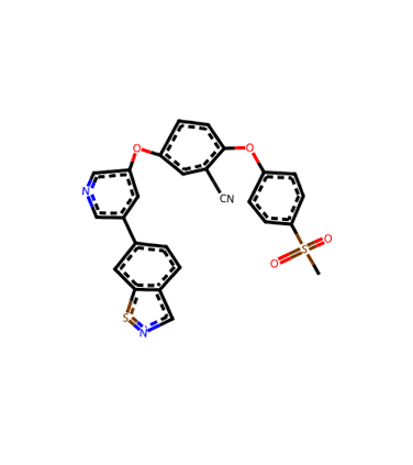 CS(=O)(=O)c1ccc(Oc2ccc(Oc3cncc(-c4ccc5cnsc5c4)c3)cc2C#N)cc1